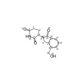 O=C1CCC(N2Cc3c(CO)cccc3C2=O)C(=O)N1